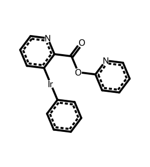 O=C(Oc1ccccn1)c1nccc[c]1[Ir][c]1ccccc1